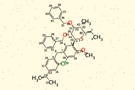 CC[C@H]1S[C@@H](c2cc(Cc3ccc(C(C)C)cc3)c(Cl)cc2OC)[C@H](OCc2ccccc2)[C@@H](OCc2ccccc2)[C@@H]1C